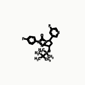 CC(C)(C)[Si](C)(C)OC1CC(c2cncc(F)c2)n2c1nn(-c1ccc(F)cc1)c2=O